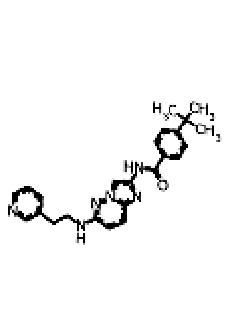 CC(C)(C)c1ccc(C(=O)Nc2cn3nc(NCCc4cccnc4)ccc3n2)cc1